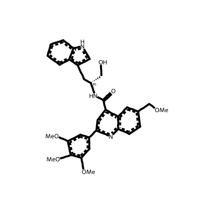 COCc1ccc2nc(-c3cc(OC)c(OC)c(OC)c3)cc(C(=O)N[C@@H](CO)Cc3c[nH]c4ccccc34)c2c1